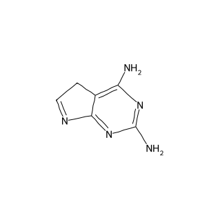 Nc1nc(N)c2c(n1)N=CC2